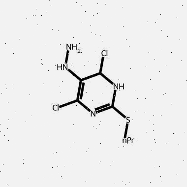 CCCSC1=NC(Cl)=C(NN)C(Cl)N1